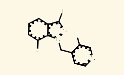 Fc1cnccc1Cn1nc(I)c2cccc(F)c21